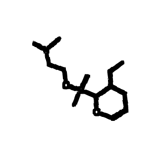 CCC1CCCO[C]1[Si](C)(C)OCCN(C)C